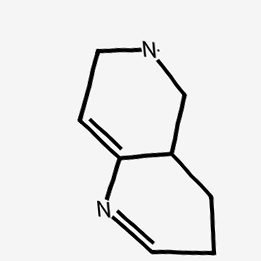 C1=NC2=CC[N]CC2CC1